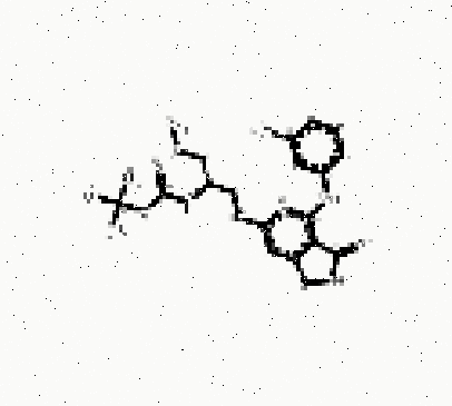 COC[C@@H](CNc1cc2c(c(Nc3cccc(C)c3)n1)C(=O)NC2)NC(=O)OC(C)(C)C